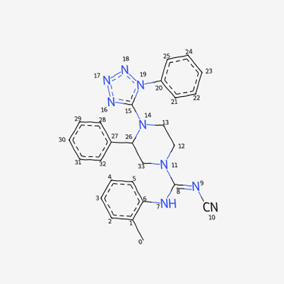 Cc1ccccc1N/C(=N\C#N)N1CCN(c2nnnn2-c2ccccc2)C(c2ccccc2)C1